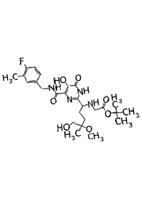 COC(C)(CO)CCC(NCC(=O)OC(C)(C)C)c1nc(C(=O)NCc2ccc(F)c(C)c2)c(O)c(=O)[nH]1